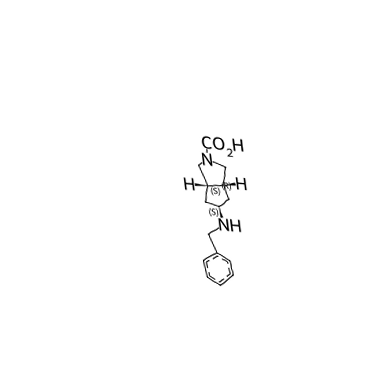 O=C(O)N1C[C@H]2C[C@H](NCc3ccccc3)C[C@H]2C1